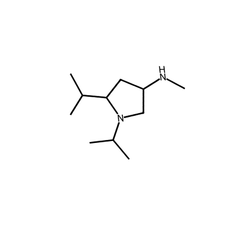 CNC1CC(C(C)C)N(C(C)C)C1